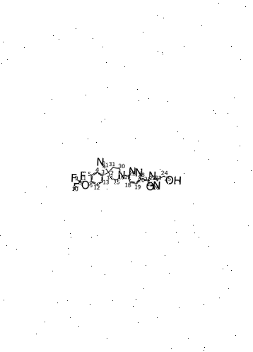 N#CC1(c2ccc(OC(F)(F)F)cc2)CCN(c2ccc(-c3nc(CO)no3)nn2)CC1